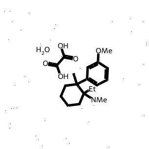 CCC1(NC)CCCCC1(C)c1cccc(OC)c1.O.O=C(O)C(=O)O